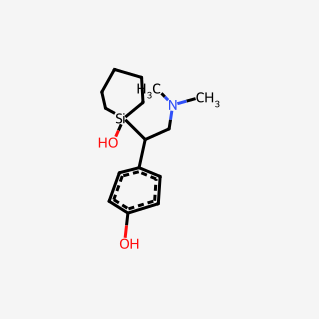 CN(C)CC(c1ccc(O)cc1)[Si]1(O)CCCCC1